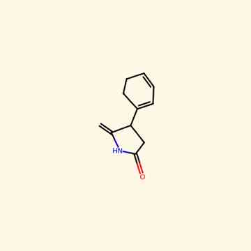 C=C1NC(=O)CC1C1=CC=CCC1